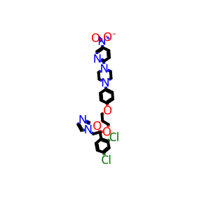 O=[N+]([O-])c1ccc(N2CCN(c3ccc(OCC4COC(Cn5ccnc5)(c5ccc(Cl)cc5Cl)O4)cc3)CC2)nc1